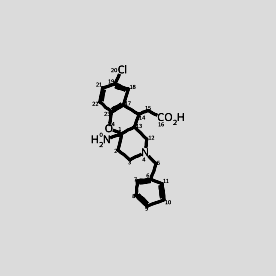 NC12CCN(Cc3ccccc3)CC1C(CC(=O)O)c1cc(Cl)ccc1O2